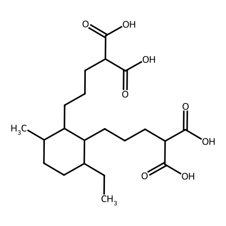 CCC1CCC(C)C(CCCC(C(=O)O)C(=O)O)C1CCCC(C(=O)O)C(=O)O